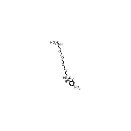 Cc1cc([N+](=O)[O-])ccc1S(=O)(=O)NCCOCCOCCOCCOCCNC(=O)O